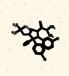 CN(C)C(=O)C1NC(CC(C)(C)C)C(C#N)(c2ccc(Cl)cc2)C1c1cccc(Cl)c1